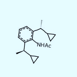 CC(=O)Nc1c([C@H](C)C2CC2)cccc1[C@H](C)C1CC1